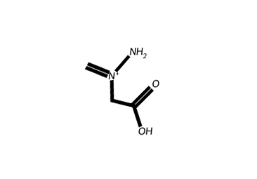 C=[N+](N)CC(=O)O